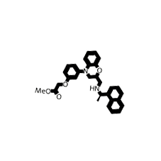 COC(=O)COc1cccc(N2CC(CN[C@H](C)c3cccc4ccccc34)Oc3ccccc32)c1